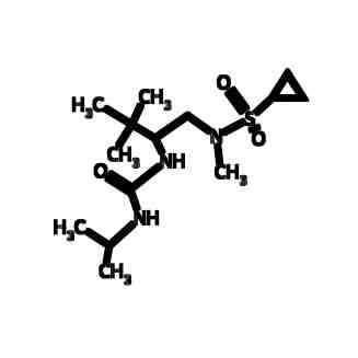 CC(C)NC(=O)NC(CN(C)S(=O)(=O)C1CC1)C(C)(C)C